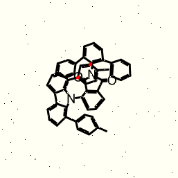 Cc1ccc(-c2cccc3c4cccc(-c5ccc(C)cc5)c4n(-c4cccc5c4C(=O)N(c4c(-c6ccccc6)cccc4-c4ccccc4)C5=O)c23)cc1